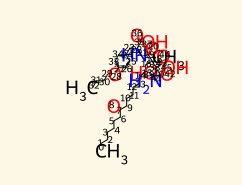 CCCCCCCC(=O)CCCCCCCC[C@](C)(C(=O)N[C@@H](Cc1ccc(OCCCC)cc1)C(=O)O)[C@](O)(C(N)=O)C(=O)O